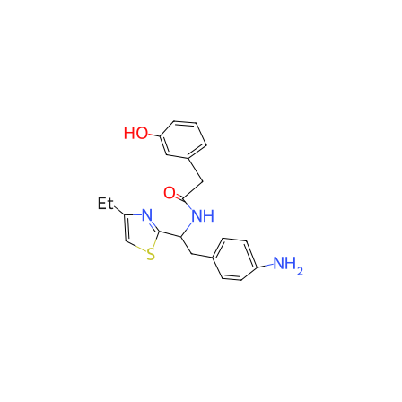 CCc1csc(C(Cc2ccc(N)cc2)NC(=O)Cc2cccc(O)c2)n1